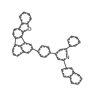 c1ccc(-c2cc(-c3ccc(-c4cc5c6c(cccc6c4)-c4ccc6c(oc7ccccc76)c4-5)cc3)cc(-c3ccc4ccccc4c3)n2)cc1